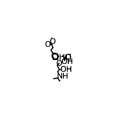 CC(=O)O.COC(=O)CCc1ccc(OCC(O)CNC(C)C)cc1.Cl